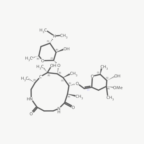 CO[C@]1(C)C/C(=C/O[C@H]2[C@H](C)[C@@H](O[C@@H]3O[C@H](C)C[C@H](N(C)C)[C@H]3O)[C@](C)(O)C[C@@H](C)CNC(=O)CCNC(=O)[C@@H]2C)O[C@@H](C)[C@@H]1O